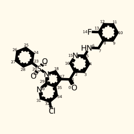 O=C(c1ccc(NCc2ccccc2F)nc1)c1cn(S(=O)(=O)c2ccccc2)c2ncc(Cl)cc12